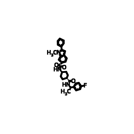 C[C@@H](NC(=O)[C@H]1CC[C@H](NS(=O)(=O)c2ccc3cc(-c4ccccc4)n(C)c3c2)CC1)c1ccc(F)cc1